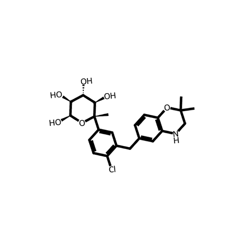 CC1(C)CNc2cc(Cc3cc([C@]4(C)O[C@@H](O)[C@@H](O)[C@H](O)[C@H]4O)ccc3Cl)ccc2O1